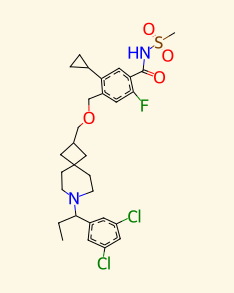 CCC(c1cc(Cl)cc(Cl)c1)N1CCC2(CC1)CC(COCc1cc(F)c(C(=O)NS(C)(=O)=O)cc1C1CC1)C2